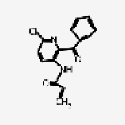 C=CC(=O)Nc1ccc(Cl)nc1C(=O)c1ccccc1